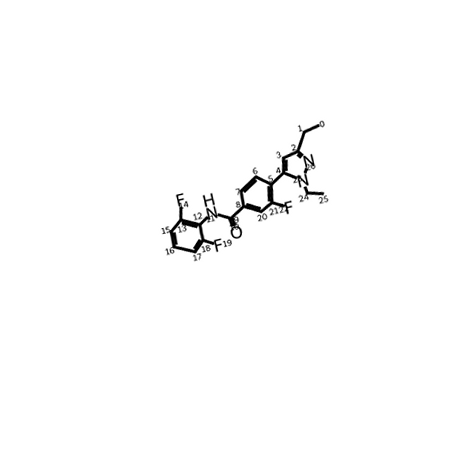 CCc1cc(-c2ccc(C(=O)Nc3c(F)cccc3F)cc2F)n(CC)n1